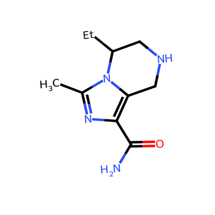 CCC1CNCc2c(C(N)=O)nc(C)n21